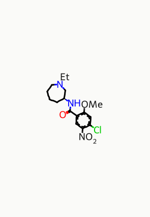 CCN1CCCC[C@H](NC(=O)c2cc([N+](=O)[O-])c(Cl)cc2OC)C1